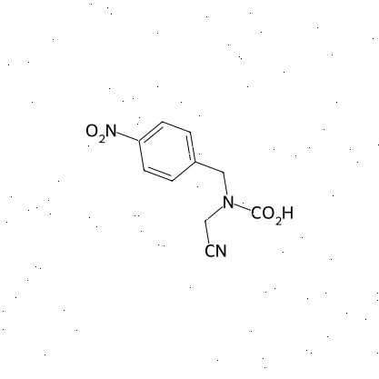 N#CCN(Cc1ccc([N+](=O)[O-])cc1)C(=O)O